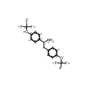 N[C@@H](Cc1ccc(OC(F)(F)F)cc1)c1ccc(OC(F)(F)F)cc1